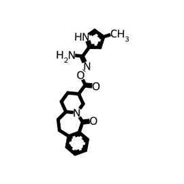 Cc1c[nH]c(/C(N)=N/OC(=O)C2CCC3CCc4ccccc4C(=O)N3C2)c1